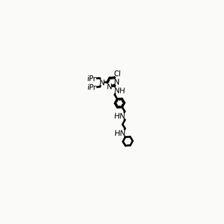 CC(C)CN(CC(C)C)c1cc(Cl)nc(NCc2ccc(CNCCCNC3CCCCC3)cc2)n1